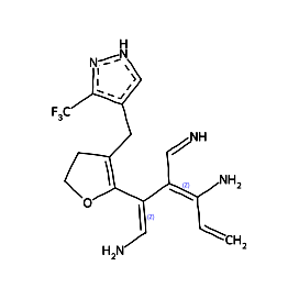 C=C/C(N)=C(C=N)\C(=C\N)C1=C(Cc2c[nH]nc2C(F)(F)F)CCO1